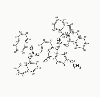 COc1ccc(C(=O)c2ccccc2OP(Oc2cccc3ccccc23)Oc2cccc3ccccc23)c(OP(Oc2cccc3ccccc23)Oc2cccc3ccccc23)c1